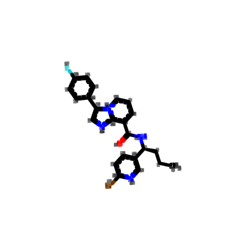 CCC[C@H](NC(=O)c1cccn2c(-c3ccc(F)cc3)cnc12)c1ccc(Br)nc1